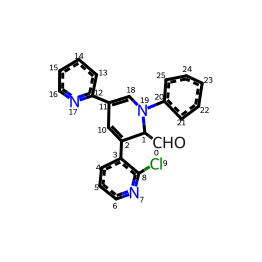 O=CC1C(c2cccnc2Cl)=CC(c2ccccn2)=CN1c1ccccc1